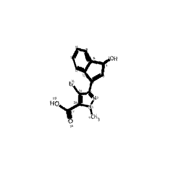 Cn1nc(C2=CC(O)c3ccccc32)c(Br)c1C(=O)O